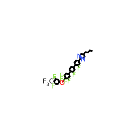 C=CCCc1cnc(-c2ccc(-c3ccc(-c4cc(F)c(C(F)(F)Oc5cc(F)c(C(F)(F)F)c(F)c5)c(F)c4)c(F)c3)c(F)c2)nc1